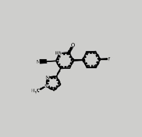 Cn1ccc(-c2cc(-c3ccc(F)cc3)c(=O)[nH]c2C#N)n1